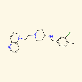 Cc1ccc(CNC2CCN(CCN3CC=Cc4ncccc43)CC2)cc1Cl